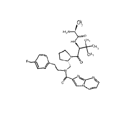 C[C@H](N)C(=O)N[C@H](C(=O)N1CCC[C@H]1CN(CCc1ccc(F)cc1)C(=O)c1cn2cccnc2n1)C(C)(C)C